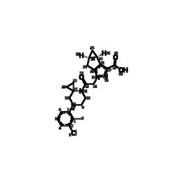 Cc1c(Cl)cccc1N1CCN(C(=O)Cn2nc(C(=O)O)c3c2C[C@H]2C[C@@H]32)C2(CC2)C1